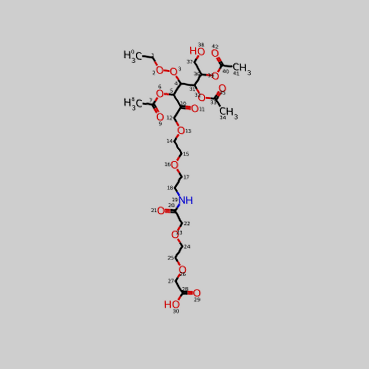 CCOOC(C(OC(C)=O)C(=O)COCCOCCNC(=O)COCCOCC(=O)O)C(OC(C)=O)C(CO)OC(C)=O